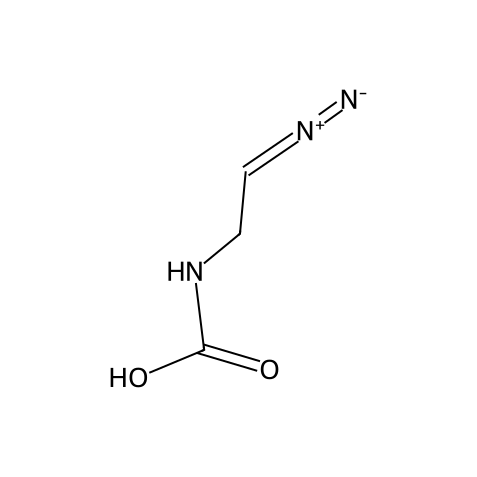 [N-]=[N+]=CCNC(=O)O